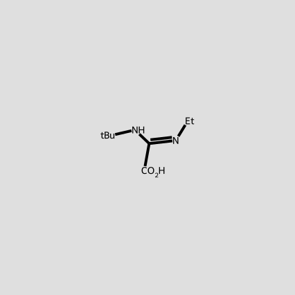 CCN=C(NC(C)(C)C)C(=O)O